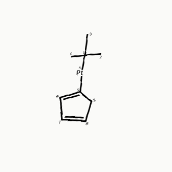 C[C](C)(C)[Pt][C]1=CC=CC1